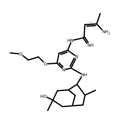 COCCOc1cc(NC(=N)/C=C(/C)N)nc(NC2C(C)CC3CC2CC(C)(O)C3)n1